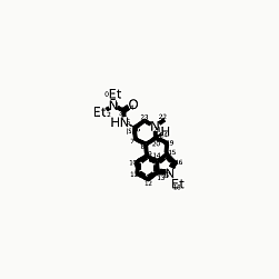 CCN(CC)C(=O)N[C@H]1CC2c3cccc4c3c(cn4CC)C[C@H]2N(C)C1